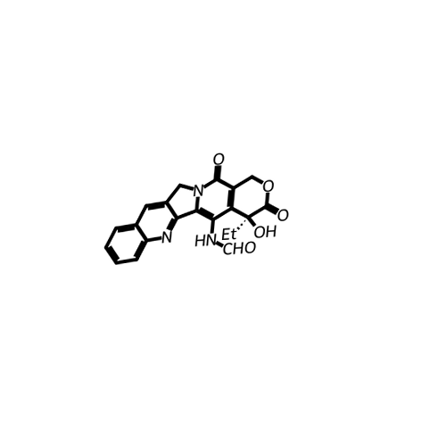 CC[C@@]1(O)C(=O)OCc2c1c(NC=O)c1n(c2=O)Cc2cc3ccccc3nc2-1